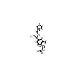 OC(CCN1CCCC1)c1ccc(OC2CC2)c(F)c1